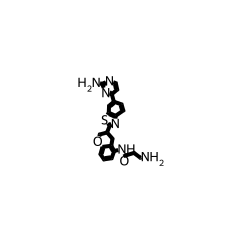 NCCC(=O)Nc1cccc2c1CC(c1nc3ccc(-c4ccnc(N)n4)cc3s1)CO2